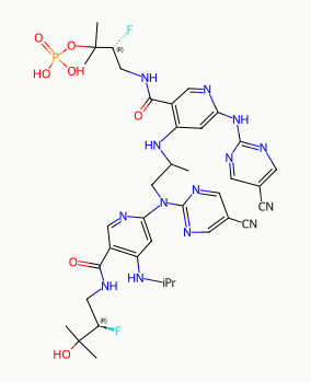 CC(C)Nc1cc(N(CC(C)Nc2cc(Nc3ncc(C#N)cn3)ncc2C(=O)NC[C@@H](F)C(C)(C)OP(=O)(O)O)c2ncc(C#N)cn2)ncc1C(=O)NC[C@@H](F)C(C)(C)O